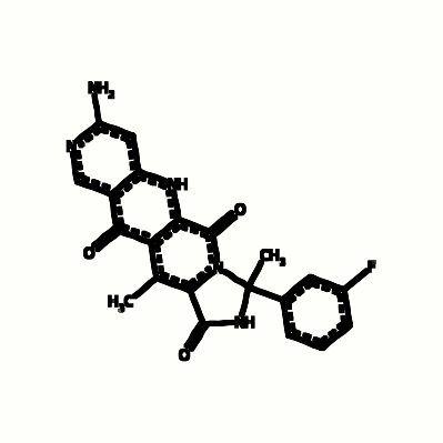 Cc1c2n(c(=O)c3[nH]c4cc(N)ncc4c(=O)c13)C(C)(c1cccc(F)c1)NC2=O